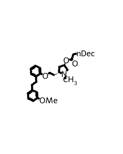 CCCCCCCCCCCC(=O)O[C@@H]1C[C@@H](CCOc2ccccc2CCc2cccc(OC)c2)N(C)C1